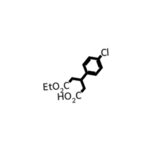 CCOC(=O)CC(CC(=O)O)c1ccc(Cl)cc1